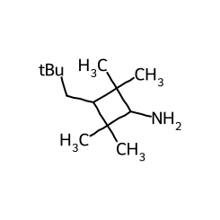 CC(C)(C)CC1C(C)(C)C(N)C1(C)C